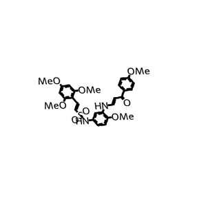 COc1ccc(C(=O)C=CNc2cc(NS(=O)(=O)C=Cc3c(OC)cc(OC)cc3OC)ccc2OC)cc1